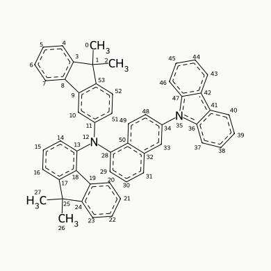 CC1(C)c2ccccc2-c2cc(N(c3cccc4c3-c3ccccc3C4(C)C)c3cccc4cc(-n5c6ccccc6c6ccccc65)ccc34)ccc21